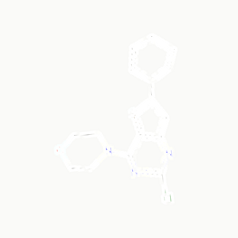 Clc1nc(N2CCOCC2)c2sc(-c3ccccc3)cc2n1